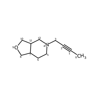 CC#CCN1CCC2COCC2C1